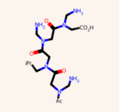 CC(=O)N(CN)CC(=O)N(CC(=O)N(CN)CC(=O)N(CN)CC(=O)O)CC(C)C